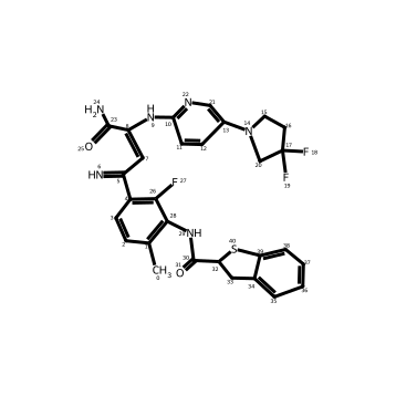 Cc1ccc(C(=N)/C=C(/Nc2ccc(N3CCC(F)(F)C3)cn2)C(N)=O)c(F)c1NC(=O)C1Cc2ccccc2S1